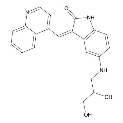 O=C1Nc2ccc(NCC(O)CO)cc2C1=Cc1ccnc2ccccc12